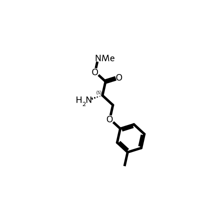 CNOC(=O)[C@@H](N)COc1cccc(C)c1